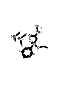 CCOP(=O)(CC(=O)NN)c1ccccc1.CNC.CNC